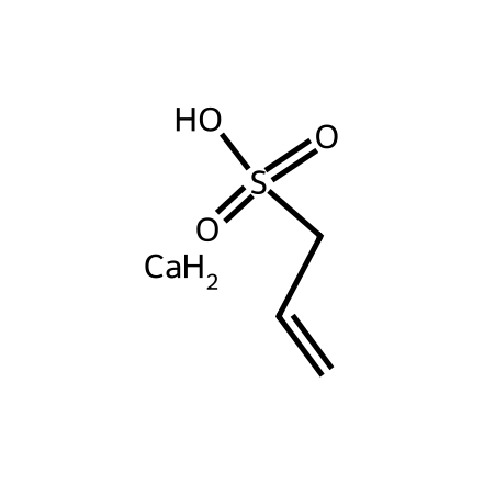 C=CCS(=O)(=O)O.[CaH2]